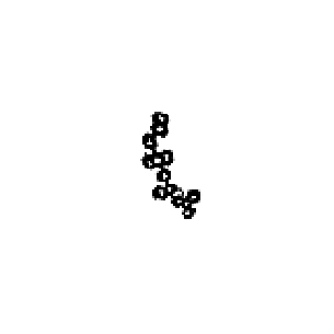 c1cc(-c2ccc3ccccc3c2)cc(-c2c3ccccc3c(-c3ccc(-c4cc5sc6c(ccc7c8ccccc8c8ccccc8c76)c5c5ccccc45)cc3)c3ccccc23)c1